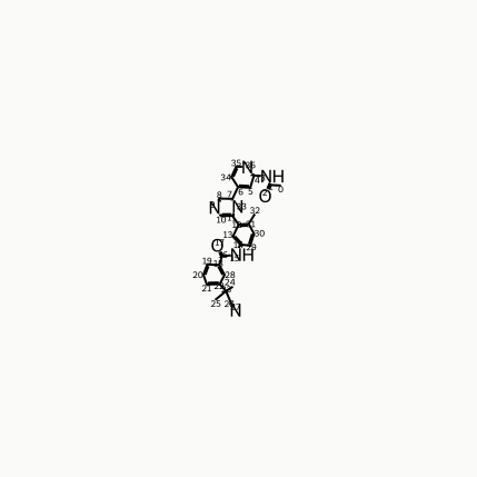 CC(=O)Nc1cc(-c2cncc(-c3cc(NC(=O)c4cccc(C(C)(C)C#N)c4)ccc3C)n2)ccn1